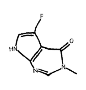 Cn1cnc2[nH]cc(F)c2c1=O